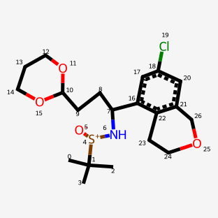 CC(C)(C)[S+]([O-])NC(CCC1OCCCO1)c1cc(Cl)cc2c1CCOC2